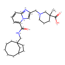 CC1(C(=O)O)CCCN(Cc2cn3c(C(=O)NCC45CCCCCC(CC4)C5)cccc3n2)C1